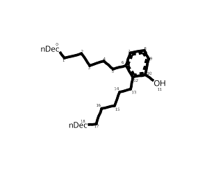 CCCCCCCCCCCCCCCc1cccc(O)c1CCCCCCCCCCCCCCC